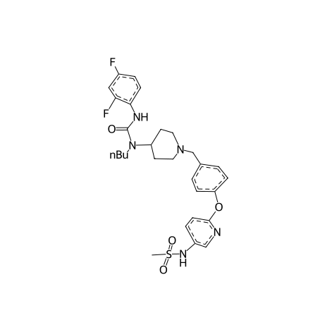 CCCCN(C(=O)Nc1ccc(F)cc1F)C1CCN(Cc2ccc(Oc3ccc(NS(C)(=O)=O)cn3)cc2)CC1